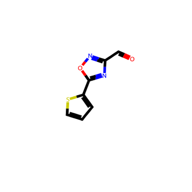 O=Cc1noc(-c2cccs2)n1